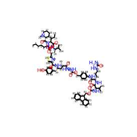 CCCCCCON(C(=O)[C@@H](NC(=O)[C@H]1CCCCN1C)[C@@H](C)CC)[C@H](C[C@@H](OC(C)=O)c1nc(C(=O)N[C@@H](Cc2ccc(O)cc2)C[C@H](C)C(=O)NNC(=O)OCc2ccc(NC(=O)[C@H](CCCNC(N)=O)NC(=O)[C@@H](NC(=O)OCC3c4ccccc4-c4ccccc43)C(C)C)cc2)cs1)C(C)C